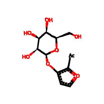 CC(=O)c1occc1O[C@@H]1O[C@H](CO)[C@H](O)[C@H](O)[C@H]1O